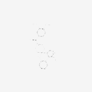 Cc1ccc(C(=O)N2CCC3(CC2)Oc2ccccc2-c2c3cnn2C)cc1C